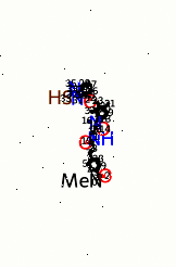 CNC(=O)c1ccc(C=CC(=O)NCC(=O)N(C)c2ccc(C)c(COc3cccc4c3nc(S)n4C)c2C)cc1